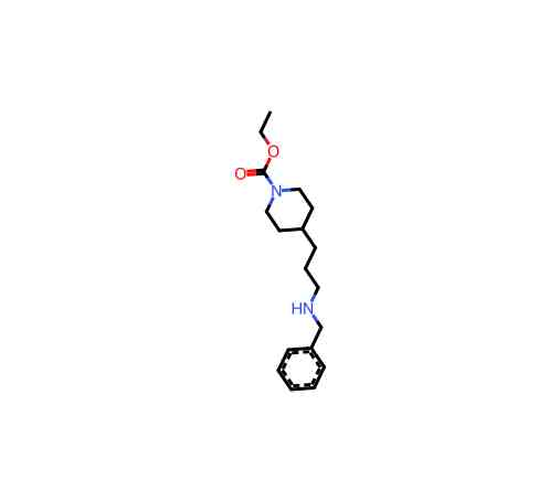 CCOC(=O)N1CCC(CCCNCc2ccccc2)CC1